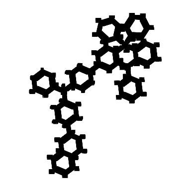 c1ccc(N(c2ccc(-c3ccc4c(c3)N(c3ccccc3)c3ccccc3[Si]4(c3ccccc3)c3ccccc3)cc2)c2ccc(-c3ccc4ccccc4c3)cc2)cc1